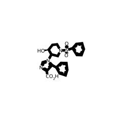 O=C(O)c1ncn(C2CN(S(=O)(=O)c3ccccc3)CC[C@@H]2O)c1-c1ccccc1